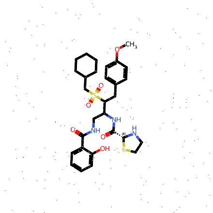 COc1ccc(CC(C(CNC(=O)c2ccccc2O)NC(=O)[C@@H]2NCCS2)S(=O)(=O)CC2CCCCC2)cc1